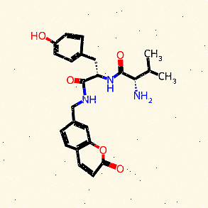 CC(C)[C@H](N)C(=O)N[C@@H](Cc1ccc(O)cc1)C(=O)NCc1ccc2ccc(=O)oc2c1